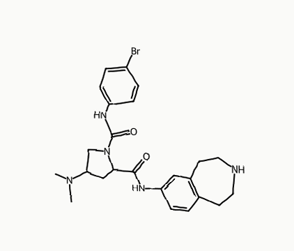 CN(C)C1CC(C(=O)Nc2ccc3c(c2)CCNCC3)N(C(=O)Nc2ccc(Br)cc2)C1